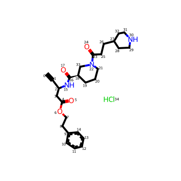 C#CC(CC(=O)OCCc1ccccc1)NC(=O)[C@@H]1CCCN(C(=O)CCC2CCNCC2)C1.Cl